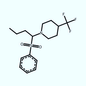 CCCC(N1CCC(C(F)(F)F)CC1)S(=O)(=O)c1ccccc1